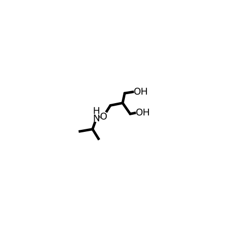 CC(C)NOCC(CO)CO